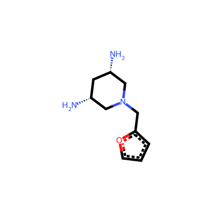 N[C@@H]1C[C@H](N)CN(Cc2ccco2)C1